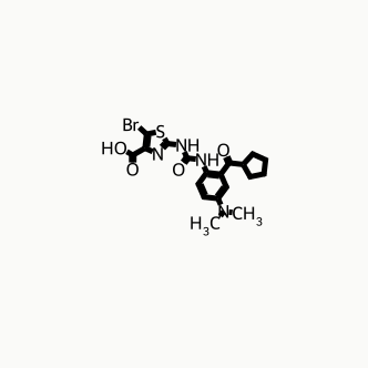 CN(C)c1ccc(NC(=O)Nc2nc(C(=O)O)c(Br)s2)c(C(=O)C2CCCC2)c1